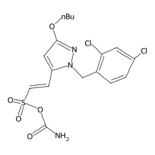 CCCCOc1cc(C=CS(=O)(=O)OC(N)=O)n(Cc2ccc(Cl)cc2Cl)n1